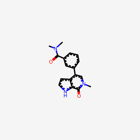 CN(C)C(=O)c1cccc(-c2cn(C)c(=O)c3[nH]ccc23)c1